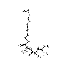 COCCOCCOCCOC(=O)[C@H](C)NC(=O)[C@@H](C)N=C(C)C